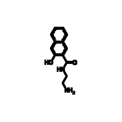 NCCNC(=O)c1cc2ccccc2cc1O